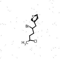 CC(Cl)CCC(Br)Cc1ccsc1